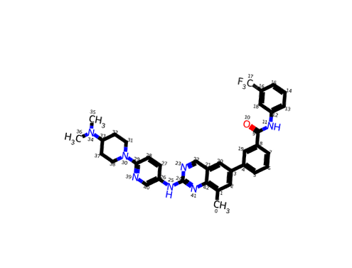 Cc1cc(-c2cccc(C(=O)Nc3cccc(C(F)(F)F)c3)c2)cc2cnc(Nc3ccc(N4CCC(N(C)C)CC4)nc3)nc12